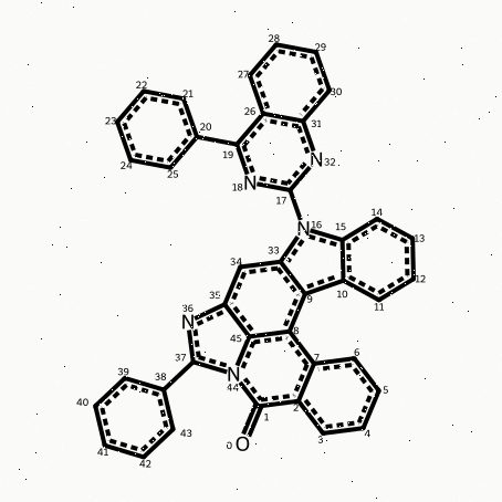 O=c1c2ccccc2c2c3c4ccccc4n(-c4nc(-c5ccccc5)c5ccccc5n4)c3cc3nc(-c4ccccc4)n1c32